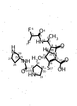 CC(NC(=O)C(F)F)[C@H]1C(=O)N2C(C(=O)O)=C(S[C@@H]3CN[C@H](C(=O)N[C@H]4CCNC4)C3)[C@H](C)[C@H]12